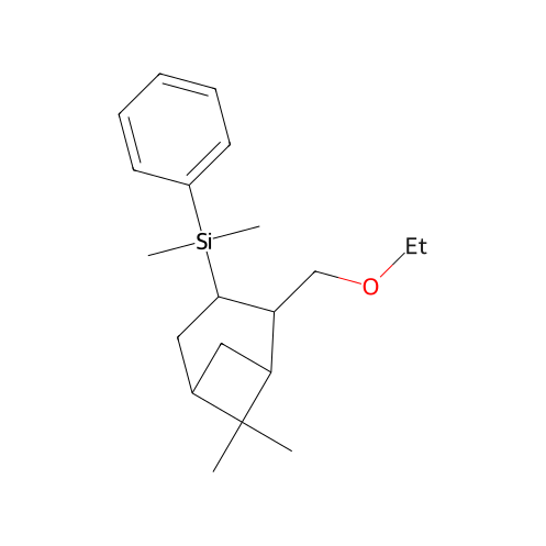 CCOCC1C2CC(CC1[Si](C)(C)c1ccccc1)C2(C)C